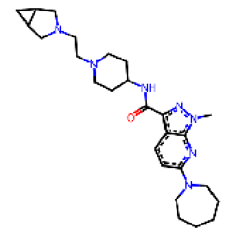 Cn1nc(C(=O)NC2CCN(CCN3CC4CC4C3)CC2)c2ccc(N3CCCCCC3)nc21